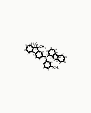 Cc1cccc(N(c2ccc3c(c2)C(C)(C)c2ccccc2-3)c2cccc3c2oc2ccccc23)c1